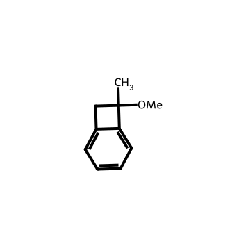 COC1(C)Cc2ccccc21